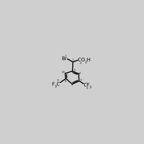 O=C(O)C(Br)c1cc(C(F)(F)F)cc(C(F)(F)F)c1